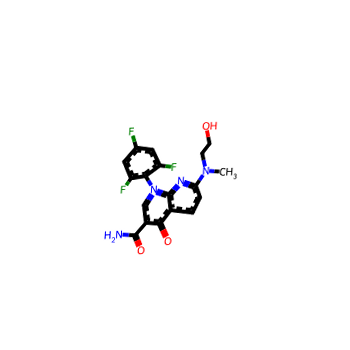 CN(CCO)c1ccc2c(=O)c(C(N)=O)cn(-c3c(F)cc(F)cc3F)c2n1